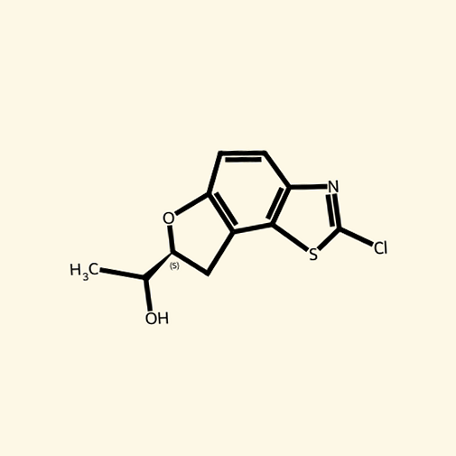 CC(O)[C@@H]1Cc2c(ccc3nc(Cl)sc23)O1